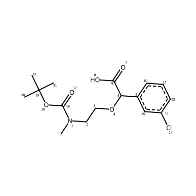 CN(CCOC(C(=O)O)c1cccc(Cl)c1)C(=O)OC(C)(C)C